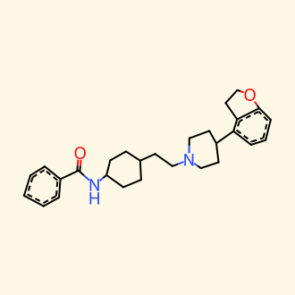 O=C(NC1CCC(CCN2CCC(c3cccc4c3CCO4)CC2)CC1)c1ccccc1